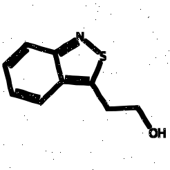 OCCc1snc2ccccc12